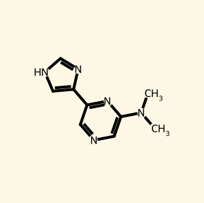 CN(C)c1cncc(-c2c[nH]cn2)n1